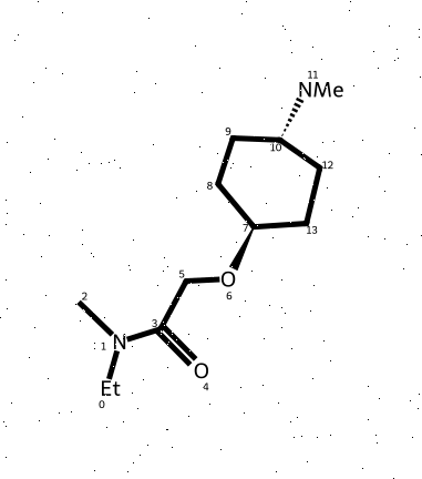 CCN(C)C(=O)CO[C@H]1CC[C@H](NC)CC1